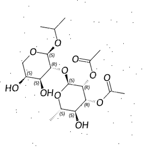 CC(=O)O[C@@H]1[C@@H](O)[C@H](C)O[C@@H](O[C@H]2[C@H](OC(C)C)OC[C@H](O)[C@@H]2O)[C@@H]1OC(C)=O